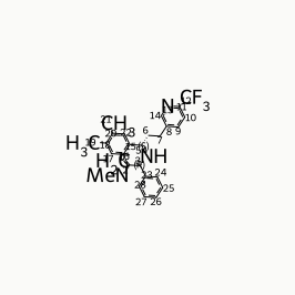 C=C(NC)[C@H](N[C@@H](CCc1ccc(C(F)(F)F)nc1)c1ccc(C)c(C)c1)c1ccccc1